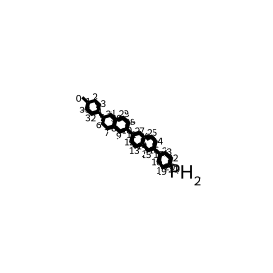 Cc1ccc(-c2ccc3cc(-c4ccc5cc(-c6ccc(P)cc6)ccc5c4)ccc3c2)cc1